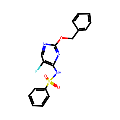 O=S(=O)(Nc1nc(OCc2ccccc2)ncc1F)c1ccccc1